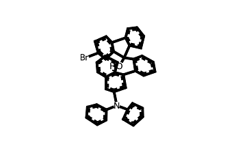 OC1(c2ccccc2-c2cc(N(c3ccccc3)c3ccccc3)cc3ccccc23)c2ccccc2-c2ccc(Br)cc21